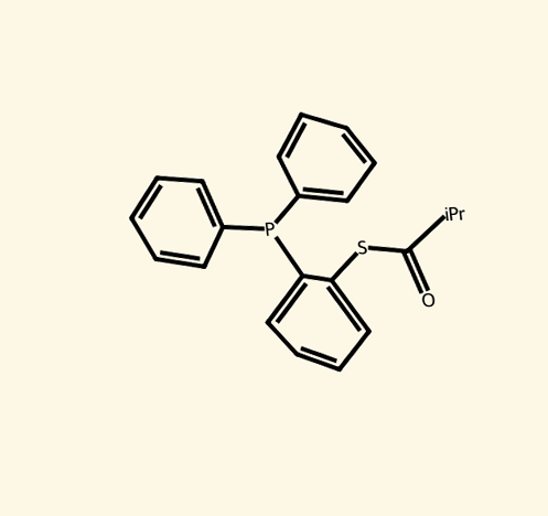 CC(C)C(=O)Sc1ccccc1P(c1ccccc1)c1ccccc1